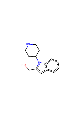 OCc1cc2ccccc2n1C1CCNCC1